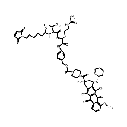 COc1cccc2c1C(=O)c1c(O)c3c(c(O)c1C2=O)C[C@@](O)(C(=O)N1CCN(C(=O)OCc2ccc(NC(=O)[C@H](CCCNC(N)=O)NC(=O)[C@@H](NC(=O)CCCCCN4C(=O)C=CC4=O)C(C)C)cc2)CC1)C[C@@H]3O[C@H]1CCCCO1